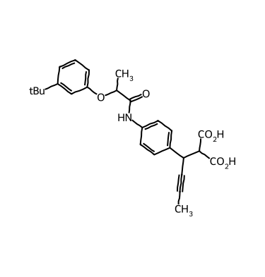 CC#CC(c1ccc(NC(=O)C(C)Oc2cccc(C(C)(C)C)c2)cc1)C(C(=O)O)C(=O)O